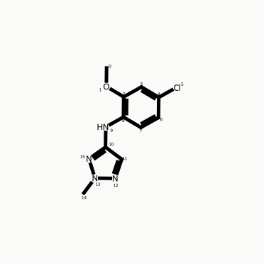 COc1cc(Cl)ccc1Nc1cnn(C)n1